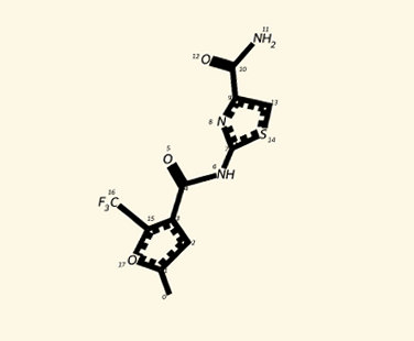 Cc1cc(C(=O)Nc2nc(C(N)=O)cs2)c(C(F)(F)F)o1